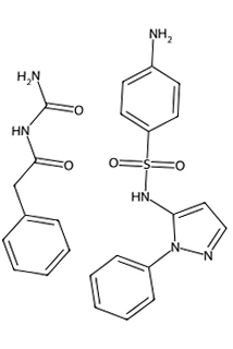 NC(=O)NC(=O)Cc1ccccc1.Nc1ccc(S(=O)(=O)Nc2ccnn2-c2ccccc2)cc1